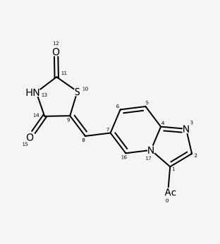 CC(=O)c1cnc2ccc(/C=C3\SC(=O)NC3=O)cn12